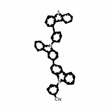 N#Cc1cccc(-n2c3ccccc3c3cc(-c4ccc5c(c4)c4ccccc4n5-c4cccc(-c5cccc6sc7ccccc7c56)c4)ccc32)c1